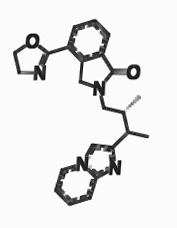 CC(c1cn2ccccc2n1)[C@@H](C)CN1Cc2c(cccc2C2=NCCO2)C1=O